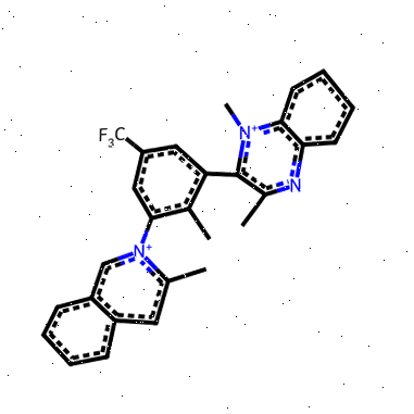 Cc1nc2ccccc2[n+](C)c1-c1cc(C(F)(F)F)cc(-[n+]2cc3ccccc3cc2C)c1C